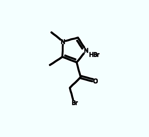 Br.Cc1c(C(=O)CBr)ncn1C